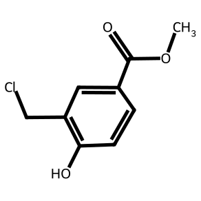 COC(=O)c1ccc(O)c(CCl)c1